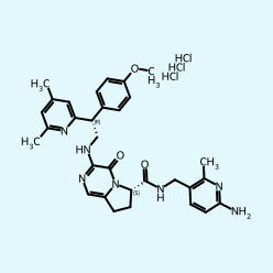 COc1ccc([C@H](CNc2ncc3n(c2=O)[C@H](C(=O)NCc2ccc(N)nc2C)CC3)c2cc(C)cc(C)n2)cc1.Cl.Cl.Cl